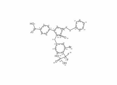 O=C(O)c1ccc(-c2cn(CCc3ccccc3)c(=O)n2Cc2ccc(C(F)(F)P(=O)(O)O)c(Br)c2)cc1